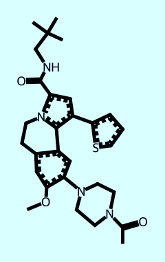 COc1cc2c(cc1N1CCN(C(C)=O)CC1)-c1c(-c3cccs3)cc(C(=O)NCC(C)(C)C)n1CC2